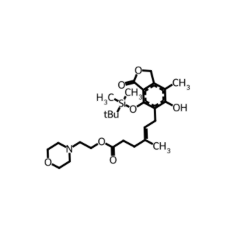 C/C(=C\Cc1c(O)c(C)c2c(c1O[Si](C)(C)C(C)(C)C)C(=O)OC2)CCC(=O)OCCN1CCOCC1